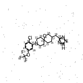 FC(F)(F)Oc1ccc(Cl)c(N2CCC3(CCC(Cc4nn[nH]n4)CO3)CC2)c1